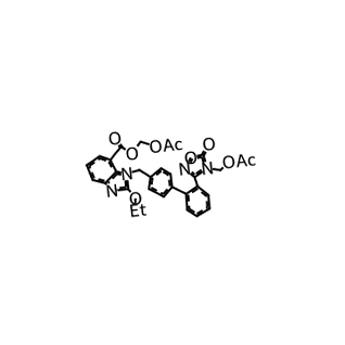 CCOc1nc2cccc(C(=O)OCOC(C)=O)c2n1Cc1ccc(-c2ccccc2-c2noc(=O)n2COC(C)=O)cc1